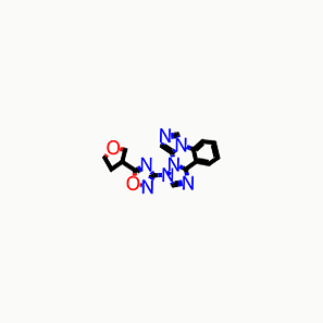 C1=NC2c3ccccc3-n3cncc3N2N1c1noc(C2CCOC2)n1